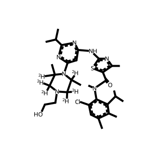 [2H]C1([2H])N(CCO)C([2H])([2H])C([2H])(C)N(c2cc(Nc3nc(C)c(C(=O)N(C)c4c(Cl)cc(C)c(C)c4C(C)C)s3)nc(C(C)C)n2)C1([2H])C